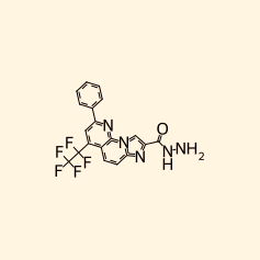 NNC(=O)c1cn2c(ccc3c(C(F)(F)C(F)(F)F)cc(-c4ccccc4)nc32)n1